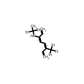 C=C/C(=C\C=C(/C=C)C(CC)(CC)CC)NC(C)(CC)CC